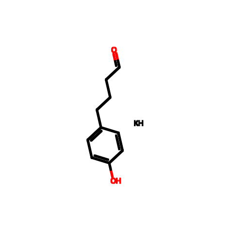 O=CCCCc1ccc(O)cc1.[KH]